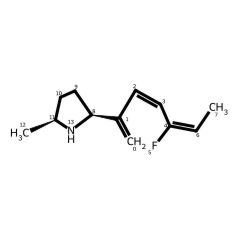 C=C(/C=C\C(F)=C/C)[C@@H]1CC[C@H](C)N1